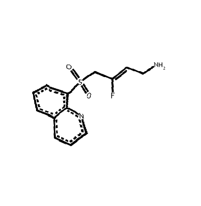 NC/C=C(\F)CS(=O)(=O)c1cccc2cccnc12